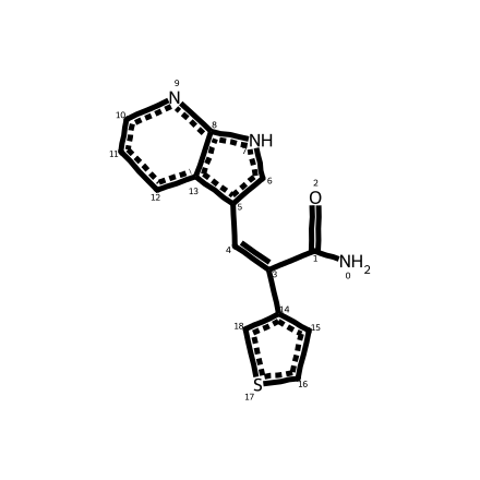 NC(=O)C(=Cc1c[nH]c2ncccc12)c1ccsc1